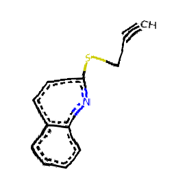 C#CCSc1ccc2ccccc2n1